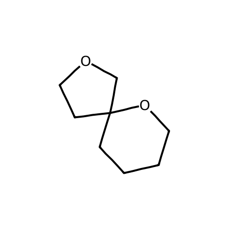 C1CCC2(CCOC2)OC1